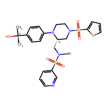 CC(C)N(C[C@H]1CN(S(=O)(=O)c2cccs2)CCN1c1ccc([C@@](C)(O)C(F)(F)F)cc1)S(=O)(=O)c1cccnc1